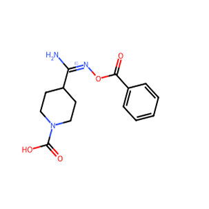 N/C(=N/OC(=O)c1ccccc1)C1CCN(C(=O)O)CC1